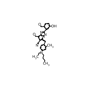 CCCCN(CC)c1ccc(/C=c2\c(C#N)c(C=O)c3nc(-c4cc(O)ccc4C=O)nn23)c(C)c1